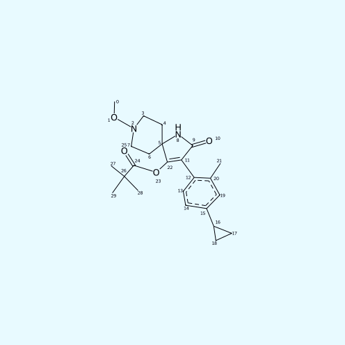 CON1CCC2(CC1)NC(=O)C(c1ccc(C3CC3)cc1C)=C2OC(=O)C(C)(C)C